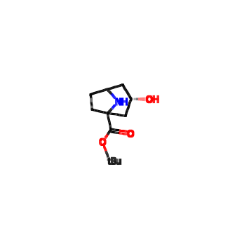 CC(C)(C)OC(=O)C12CCC(C[C@H](O)C1)N2